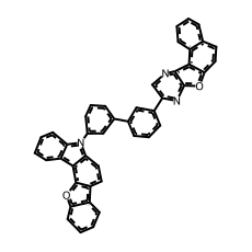 c1cc(-c2cccc(-n3c4ccccc4c4c5oc6ccccc6c5ccc43)c2)cc(-c2cnc3c(n2)oc2ccc4ccccc4c23)c1